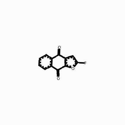 O=C1c2ccccc2C(=O)c2oc(F)cc21